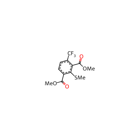 COC(=O)c1ccc(C(F)(F)F)c(C(=O)OC)c1SC